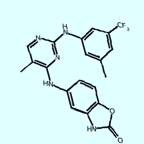 Cc1cc(Nc2ncc(C)c(Nc3ccc4oc(=O)[nH]c4c3)n2)cc(C(F)(F)F)c1